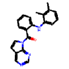 Cc1cccc(Nc2ccccc2C(=O)n2ccc3cncnc32)c1C